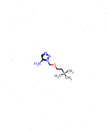 C[Si](C)(C)CCOCn1nncc1N